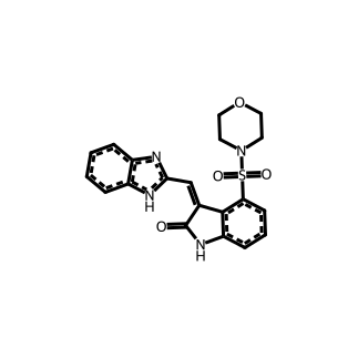 O=C1Nc2cccc(S(=O)(=O)N3CCOCC3)c2/C1=C/c1nc2ccccc2[nH]1